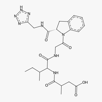 CCC(C)C(NC(=O)C(C)CC(=O)O)C(=O)NCC(=O)N1c2ccccc2C[C@H]1C(=O)NCc1nn[nH]n1